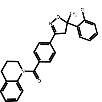 O=C(c1ccc(C2=NOC(c3ccccc3Cl)(C(F)(F)F)C2)cc1)N1CCCc2ccccc21